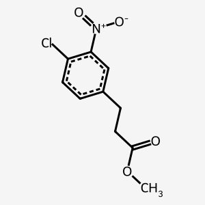 COC(=O)CCc1ccc(Cl)c([N+](=O)[O-])c1